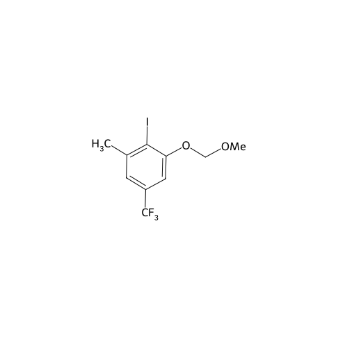 COCOc1cc(C(F)(F)F)cc(C)c1I